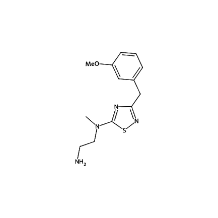 COc1cccc(Cc2nsc(N(C)CCN)n2)c1